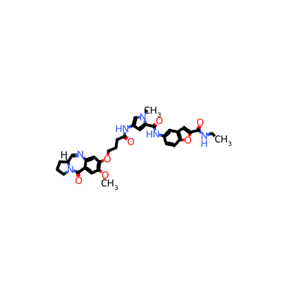 CCNC(=O)c1cc2cc(NC(=O)c3cc(NC(=O)CCCOc4cc5c(cc4OC)C(=O)N4CCC[C@H]4C=N5)cn3C)ccc2o1